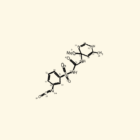 COC1(NC(=O)NS(=O)(=O)c2cccc(N=C=O)c2)C=C(C)NC=N1